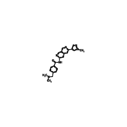 CN(C)Cc1ccc(C(=O)Nc2cc3cc(-c4cnn(C)c4)ncc3cn2)cc1